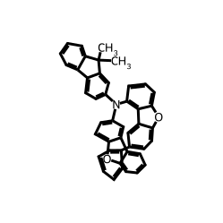 CC1(C)c2ccccc2-c2ccc(N(c3ccc4oc5ccccc5c4c3)c3cccc4oc5ccc(-c6ccccc6)cc5c34)cc21